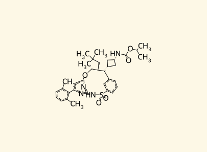 Cc1cccc(C)c1-c1cc2nc(n1)NS(=O)(=O)c1cccc(c1)C([C@H]1C[C@@H](NC(=O)OC(C)C)C1)[C@H](CC(C)(C)C)CO2